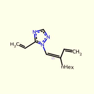 C=C/C(=C\n1ncnc1C=C)CCCCCC